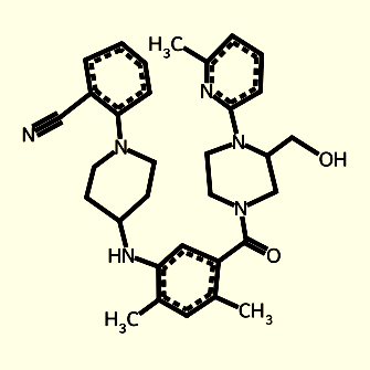 Cc1cccc(N2CCN(C(=O)c3cc(NC4CCN(c5ccccc5C#N)CC4)c(C)cc3C)CC2CO)n1